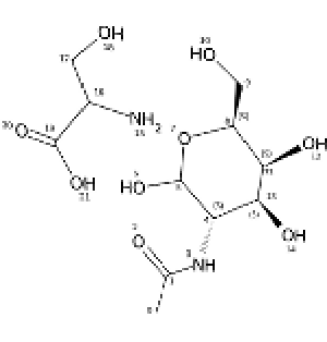 CC(=O)N[C@@H]1C(O)O[C@@H](CO)[C@@H](O)[C@H]1O.NC(CO)C(=O)O